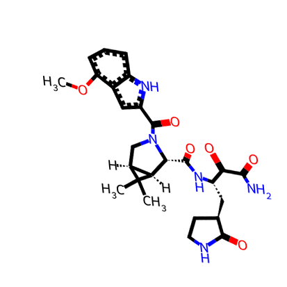 COc1cccc2[nH]c(C(=O)N3C[C@H]4[C@@H]([C@H]3C(=O)N[C@@H](C[C@@H]3CCNC3=O)C(=O)C(N)=O)C4(C)C)cc12